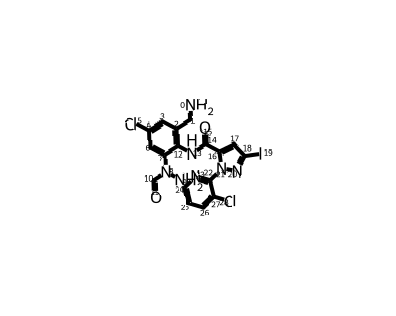 NCc1cc(Cl)cc(N(N)C=O)c1NC(=O)c1cc(I)nn1-c1ncccc1Cl